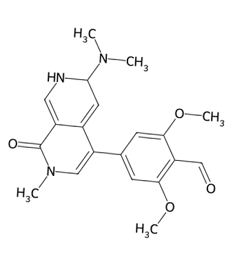 COc1cc(-c2cn(C)c(=O)c3c2=CC(N(C)C)NC=3)cc(OC)c1C=O